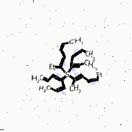 C=C/C=C(\C=C/C)S(/C(C)=C/C=C\CC)(C(/C=C\C)=C/C)/C(=C/C=C\C)CC